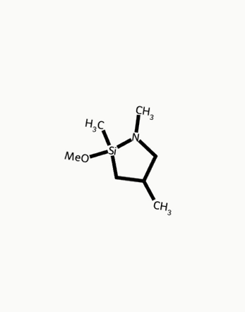 CO[Si]1(C)CC(C)CN1C